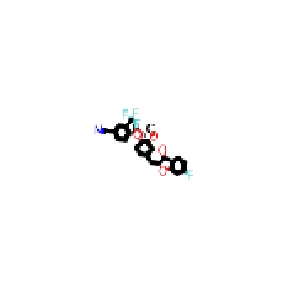 COc1cc(C=C2Oc3cc(F)ccc3C2=O)ccc1Oc1ccc(C#N)cc1C(F)(F)F